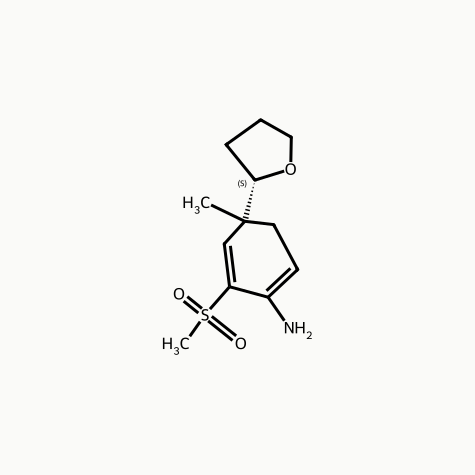 CC1([C@@H]2CCCO2)C=C(S(C)(=O)=O)C(N)=CC1